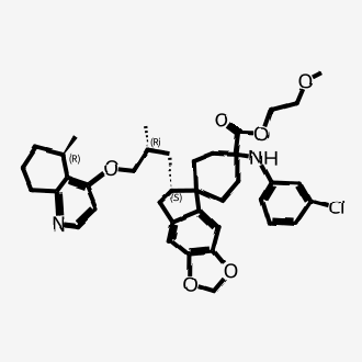 COCCOC(=O)C1(Nc2cccc(Cl)c2)CCC2(CC1)c1cc3c(cc1C[C@@H]2C[C@@H](C)COc1ccnc2c1[C@H](C)CCC2)OCO3